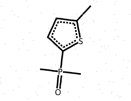 Cc1ccc(P(C)(C)=O)s1